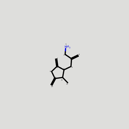 C=C(CN)CC1C(=C)CC(=C)C1C